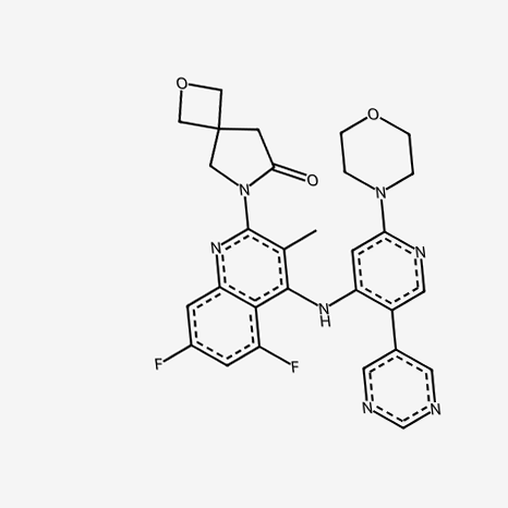 Cc1c(N2CC3(COC3)CC2=O)nc2cc(F)cc(F)c2c1Nc1cc(N2CCOCC2)ncc1-c1cncnc1